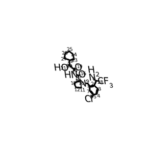 NC(c1ccc(Cl)cc1CN1CCC[C@H]1C(=O)NC(=O)[C@H](O)C1CCCCC1)C(F)(F)F